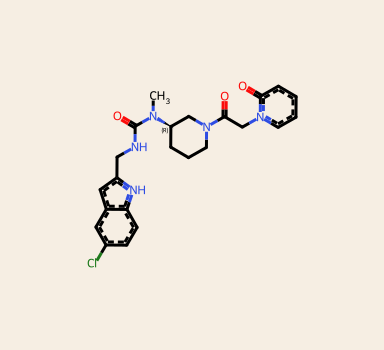 CN(C(=O)NCc1cc2cc(Cl)ccc2[nH]1)[C@@H]1CCCN(C(=O)Cn2ccccc2=O)C1